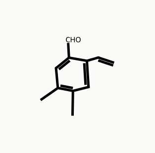 C=Cc1cc(C)c(C)cc1C=O